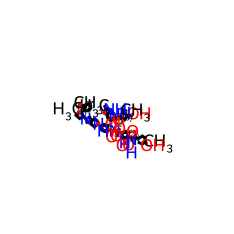 Cc1cc2cc(Oc3cc(N4CCC5(CC4)CN(C4CCC[C@@H]4c4ccccc4C(C)C)C5)ccc3C(=O)NS(=O)(=O)c3cc4c(c([N+](=O)[O-])c3)N[C@@H]([C@H]3CC[C@](C)(O)CC3)CO4)c(O[C@@H]3C[C@@H](CO)N(C)C3)nc2[nH]1